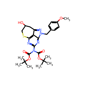 COc1ccc(Cn2nc3c4c(nc(N(C(=O)OC(C)(C)C)C(=O)OC(C)(C)C)nc42)SCC(O)C3)cc1